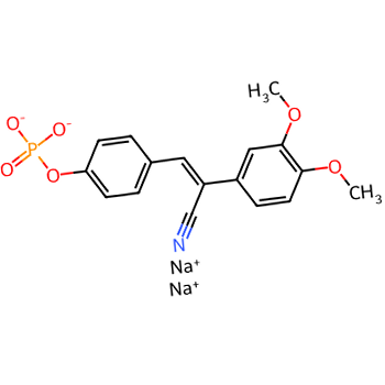 COc1ccc(C(C#N)=Cc2ccc(OP(=O)([O-])[O-])cc2)cc1OC.[Na+].[Na+]